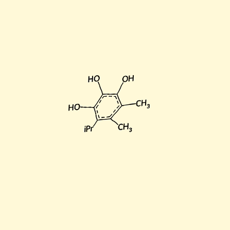 Cc1c(C)c(C(C)C)c(O)c(O)c1O